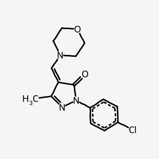 CC1=NN(c2ccc(Cl)cc2)C(=O)C1=CN1CCOCC1